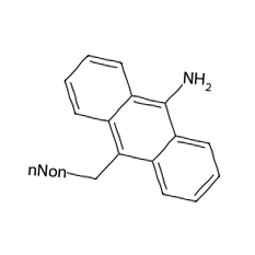 CCCCCCCCCCc1c2ccccc2c(N)c2ccccc12